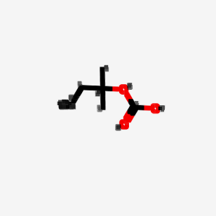 CC(C)(C)CC(C)(C)OC([O])=O